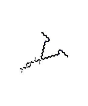 CCCCC/C=C\C/C=C\CCCCCCCCC(CCCCCCCC/C=C\C/C=C\CCCCC)NCCNCCN1CCN(CCNC)CC1